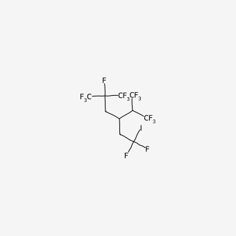 FC(F)(I)CC(CC(F)(C(F)(F)F)C(F)(F)F)C(C(F)(F)F)C(F)(F)F